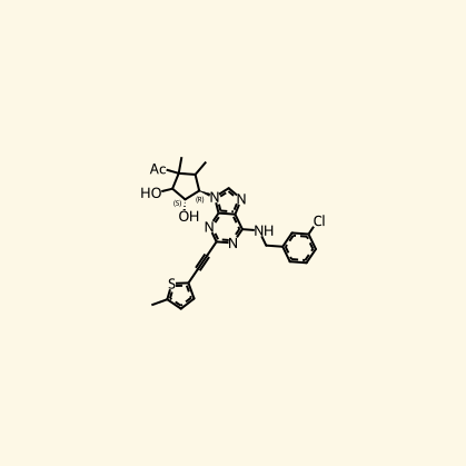 CC(=O)C1(C)C(O)[C@@H](O)[C@H](n2cnc3c(NCc4cccc(Cl)c4)nc(C#Cc4ccc(C)s4)nc32)C1C